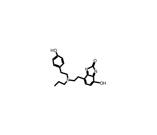 CCCN(CCc1ccc(O)cc1)CCc1ccc(O)c2c1=NC(=O)N=2